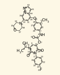 Cc1cc(NC(=O)Oc2cn(C(C)C)c(=O)n(-c3ccc(F)cc3)c2=O)ccc1Oc1cc(N2CCOCC2)cn2nccc12